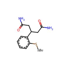 CCCCSc1ccccc1C(CC(N)=O)CC(N)=O